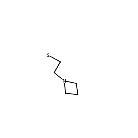 [S]CCN1CCC1